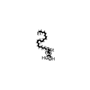 CC/C=C\C/C=C\C/C=C\C/C=C\C/C=C\C/C=C\CCCCOC(CC)C(=O)OC(CO)CO